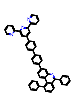 c1ccc(-c2nc3cc(-c4ccc(-c5ccc(-c6cc(-c7ccccn7)nc(-c7ccccn7)c6)cc5)cc4)ccc3c3c(-c4ccccc4)cccc23)cc1